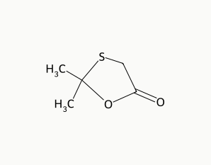 CC1(C)OC(=O)CS1